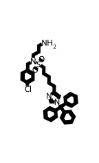 NCCCN(Cc1ccc(Cl)cc1)S(=O)(=O)CCCCCc1cn(C(c2ccccc2)(c2ccccc2)c2ccccc2)cn1